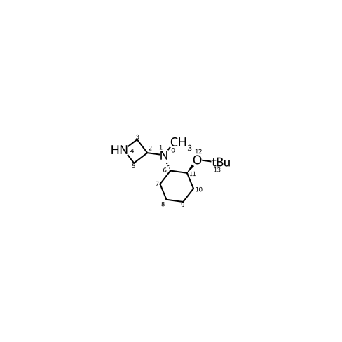 CN(C1CNC1)[C@H]1CCCC[C@@H]1OC(C)(C)C